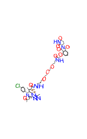 CC(=O)C[C@H]1N=C(c2ccc(Cl)cc2)c2c(sc(C(=O)NCCCOCCOCCOCCCNC(=O)COc3cccc4c3C(=O)N(C3CCC(=O)NC3=O)C4=O)c2C)-n2c(C)nnc21